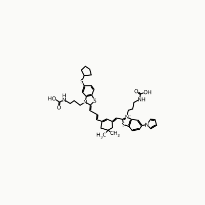 CC1(C)CC(/C=C/C=C2\Sc3ccc(SC4CCCC4)cc3N2CCCNC(=O)O)=CC(=C/c2sc3ccc(-n4cccc4)cc3[n+]2CCCNC(=O)O)/C1